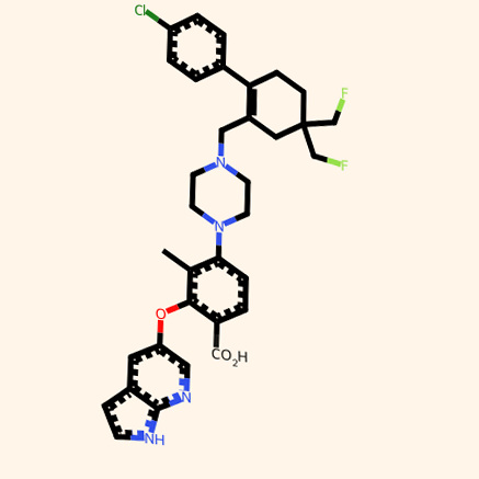 Cc1c(N2CCN(CC3=C(c4ccc(Cl)cc4)CCC(CF)(CF)C3)CC2)ccc(C(=O)O)c1Oc1cnc2[nH]ccc2c1